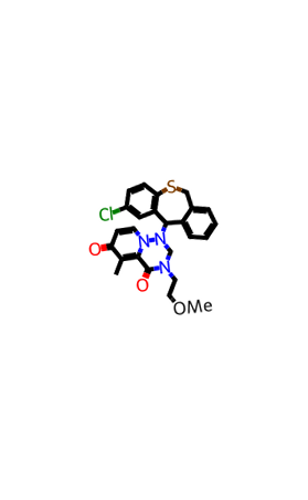 COCCN1CN(C2c3ccccc3CSc3ccc(Cl)cc32)n2ccc(=O)c(C)c2C1=O